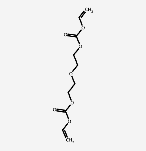 C=COC(=O)OCCOCCOC(=O)OC=C